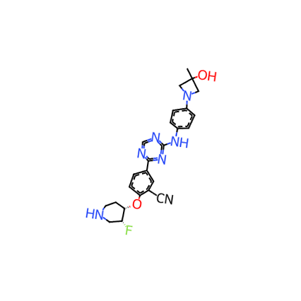 CC1(O)CN(c2ccc(Nc3ncnc(-c4ccc(O[C@H]5CCNC[C@H]5F)c(C#N)c4)n3)cc2)C1